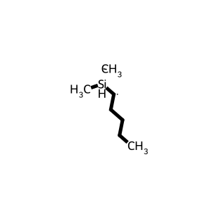 CCCC[CH][SiH](C)C